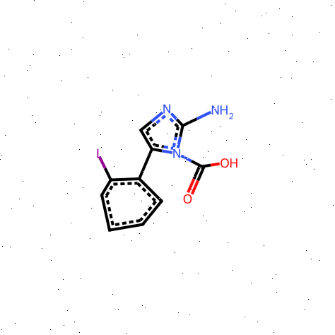 Nc1ncc(-c2ccccc2I)n1C(=O)O